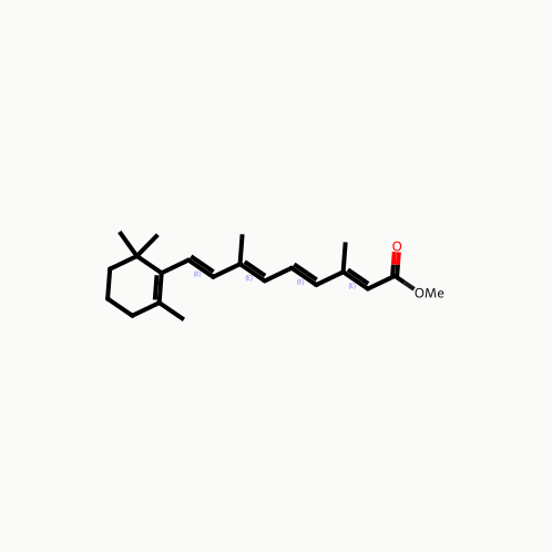 [CH2]OC(=O)/C=C(C)/C=C/C=C(C)/C=C/C1=C(C)CCCC1(C)C